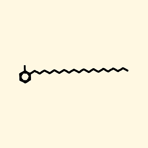 CCCCCCCCCCCCCCCCCCCCc1ccccc1C